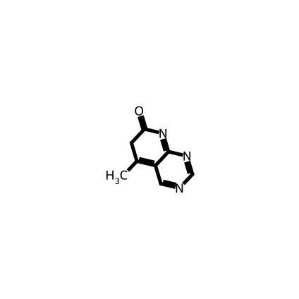 CC1=c2cncnc2=NC(=O)C1